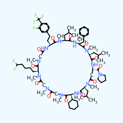 CC(C)C[C@H]1C(=O)N[C@@H](C2CCCCC2)C(=O)N(C)CC(=O)N(C)CC(=O)N(C)[C@@H](CCCCC(F)F)C(=O)N(C)CC(=O)N[C@@H](CCc2ccc(C(F)(F)F)c(F)c2)C(=O)N(C)[C@@H](CC(C)C)C(=O)N[C@@](C)(Cc2ccccc2)C(=O)N(C)[C@@H](CC(C)C)C(=O)N[C@H](C(=O)N2CCCC2)CC(=O)N1C